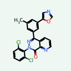 Cc1cc(-c2cnco2)cc(-c2nn(-c3c(Cl)cccc3Cl)c(=O)c3ncccc23)c1